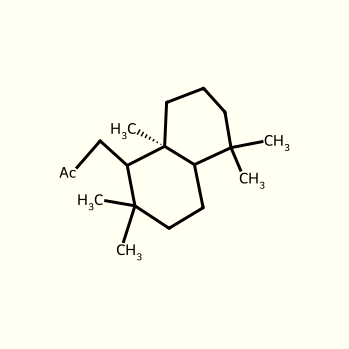 CC(=O)CC1C(C)(C)CCC2C(C)(C)CCC[C@@]21C